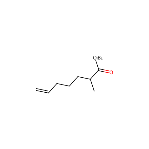 C=CCCCC(C)C(=O)OCC(C)C